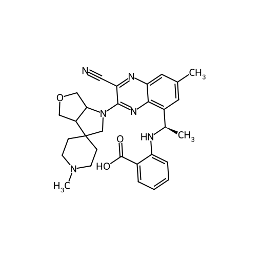 Cc1cc([C@@H](C)Nc2ccccc2C(=O)O)c2nc(N3CC4(CCN(C)CC4)C4COCC43)c(C#N)nc2c1